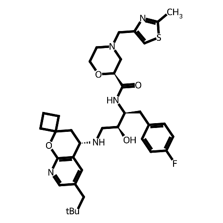 Cc1nc(CN2CCO[C@H](C(=O)N[C@@H](Cc3ccc(F)cc3)[C@@H](O)CN[C@H]3CC4(CCC4)Oc4ncc(CC(C)(C)C)cc43)C2)cs1